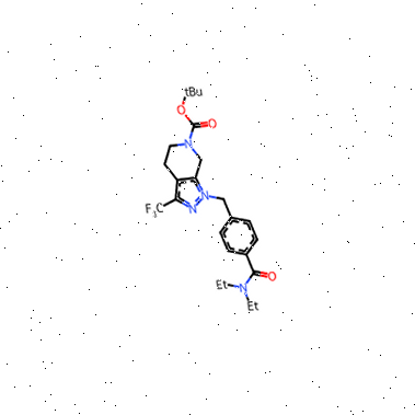 CCN(CC)C(=O)c1ccc(Cn2nc(C(F)(F)F)c3c2CN(C(=O)OC(C)(C)C)CC3)cc1